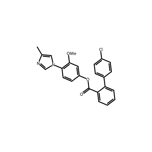 COc1cc(OC(=O)c2ccccc2-c2ccc(Cl)cc2)ccc1-n1cnc(C)c1